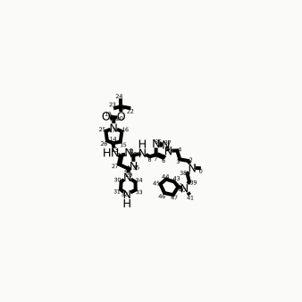 CN(CCCn1cc(CNc2nc(NC3CCN(C(=O)OC(C)(C)C)CC3)cc(N3CCNCC3)n2)nn1)CCN(C)C1CCCCC1